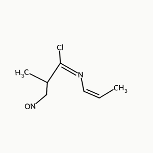 C/C=C\N=C(\Cl)C(C)CN=O